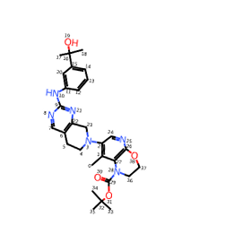 Cc1c(N2CCc3cnc(Nc4cccc(C(C)(C)O)c4)nc3C2)cnc2c1N(C(=O)OC(C)(C)C)CCO2